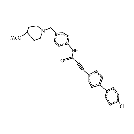 COC1CCN(Cc2ccc(NC(=O)C#Cc3ccc(-c4ccc(Cl)cc4)cc3)cc2)CC1